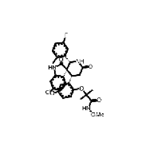 CONC(=O)C(C)(C)Oc1ccc(Cl)cc1[C@H]1CC(=O)N[C@@H](c2cc(F)ccc2C)[C@]12C(=O)Nc1cc(Cl)ccc12